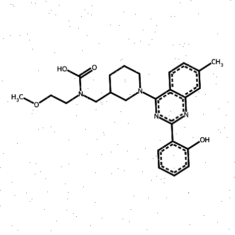 COCCN(CC1CCCN(c2nc(-c3ccccc3O)nc3cc(C)ccc23)C1)C(=O)O